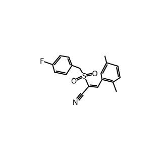 Cc1ccc(C)c(/C=C(/C#N)S(=O)(=O)Cc2ccc(F)cc2)c1